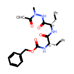 CC(C)C[C@H](NC(=O)OCc1ccccc1)C(=O)N[C@@H](CC(C)C)C(=O)NN(C)C(=O)C=O